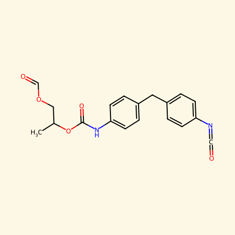 CC(COC=O)OC(=O)Nc1ccc(Cc2ccc(N=C=O)cc2)cc1